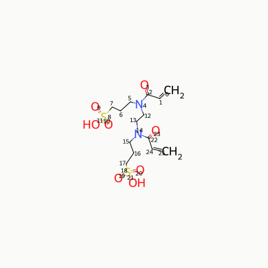 C=CC(=O)N(CCCS(=O)(=O)O)CCN(CCCS(=O)(=O)O)C(=O)C=C